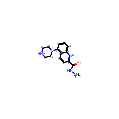 CNC(=O)c1ccc2c(N3CCNCC3)cccc2n1